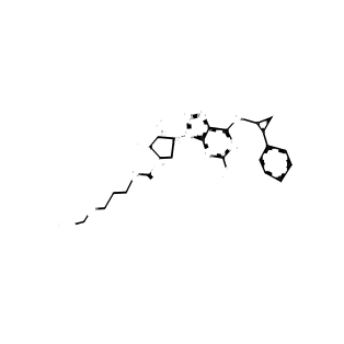 CCOCCCNC(=O)[C@@H]1C[C@H](n2nnc3c(NC4CC4c4ccccc4)nc(SC)nc32)[C@@H](O)[C@H]1O